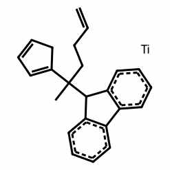 C=CCCC(C)(C1=CC=CC1)C1c2ccccc2-c2ccccc21.[Ti]